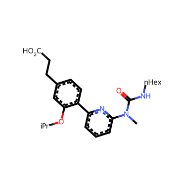 CCCCCCNC(=O)N(C)c1cccc(-c2ccc(CCC(=O)O)cc2OC(C)C)n1